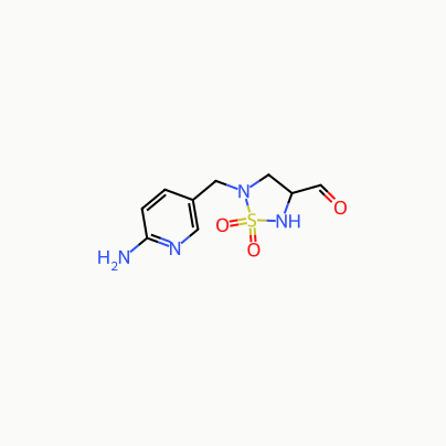 Nc1ccc(CN2CC(C=O)NS2(=O)=O)cn1